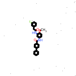 COc1ccc(NC(=O)c2ccc(-c3ccccc3)cc2)cc1NC(=O)Cc1cccc(F)c1